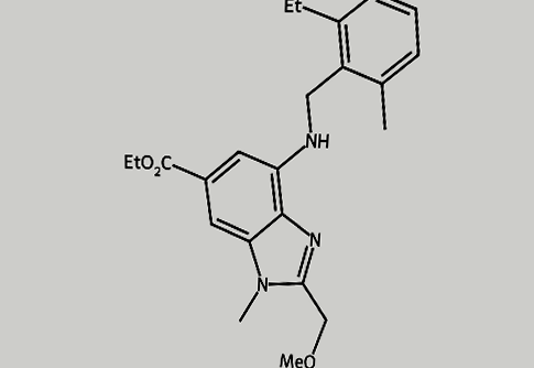 CCOC(=O)c1cc(NCc2c(C)cccc2CC)c2nc(COC)n(C)c2c1